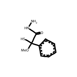 COC(S)(C(=O)NN)c1ccccc1